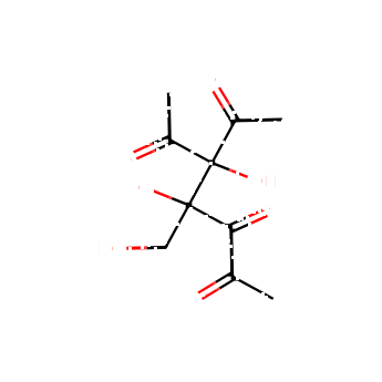 CC(=O)C(=O)C(O)(CO)C(O)(C(C)=O)C(C)=O